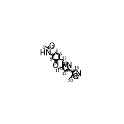 CC(=O)Nc1ccc2c(c1)OCc1cc(-c3cnoc3C)nn1C2